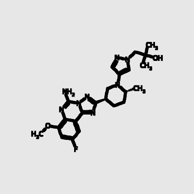 COc1cc(F)cc2c1nc(N)n1nc([C@@H]3CC[C@@H](C)N(c4cnn(CC(C)(C)O)c4)C3)nc21